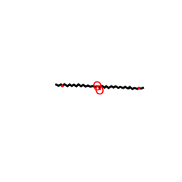 CCCCCCC=CCCCCCCCCCCCC(=O)OCCCCCCCCCCCCCCCCCC